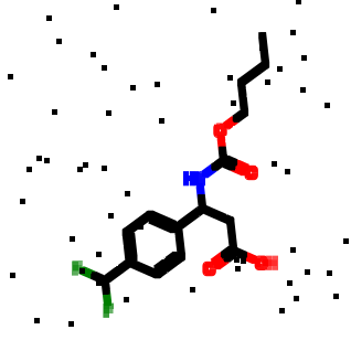 CCCCOC(=O)NC(CC(=O)O)c1ccc(C(F)F)cc1